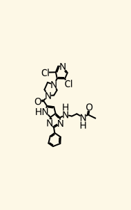 CC(=O)NCCNc1nc(-c2ccccc2)nc2[nH]c(C(=O)N3CCN(c4c(Cl)cncc4Cl)CC3)cc12